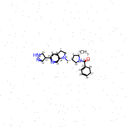 C[C@H]1C[C@@H](CN2CCc3cc(C4C=NNC4)ncc32)CN1C(=O)C1=CC=CCC1